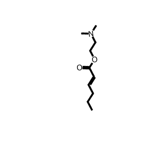 CCCC=CC(=O)OCCN(C)C